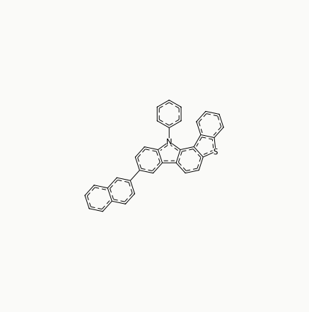 c1ccc(-n2c3ccc(-c4ccc5ccccc5c4)cc3c3ccc4sc5ccccc5c4c32)cc1